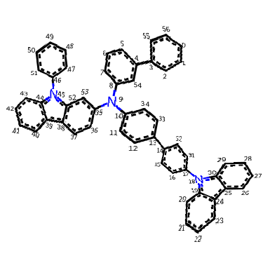 c1ccc(-c2cccc(N(c3ccc(-c4ccc(-n5c6ccccc6c6ccccc65)cc4)cc3)c3ccc4c5ccccc5n(-c5ccccc5)c4c3)c2)cc1